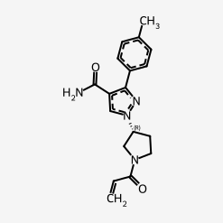 C=CC(=O)N1CC[C@@H](n2cc(C(N)=O)c(-c3ccc(C)cc3)n2)C1